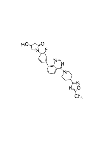 O=C1C[C@H](O)CN1c1ccc(-c2cccc3c(N4CCC(c5noc(C(F)(F)F)n5)CC4)ncnc23)cc1F